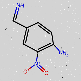 N=Cc1ccc(N)c([N+](=O)[O-])c1